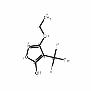 CCOc1noc(O)c1C(F)(F)F